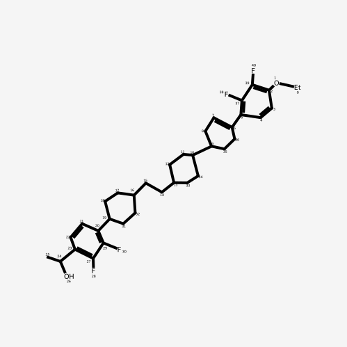 CCOc1ccc(C2=CCC(C3CCC(CCC4CCC(c5ccc(C(C)O)c(F)c5F)CC4)CC3)CC2)c(F)c1F